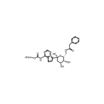 CCCCCOC(=O)Nc1ncnn2c([C@@]3(C#N)C[C@H](O)[C@H](O)[C@@H](COC(=O)Cc4ccccc4)O3)ccc12